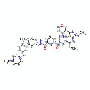 CCc1nc2c(cnn2CC)c(NC2CCOCC2)c1CNC(=O)c1cccc(C(=O)NCc2ccc(C)c(-c3cccc(CN4CCCN(C)CC4)c3)c2)n1